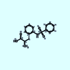 C=C(Cc1ccccc1NS(=O)(=O)c1ccccc1)C(=O)O